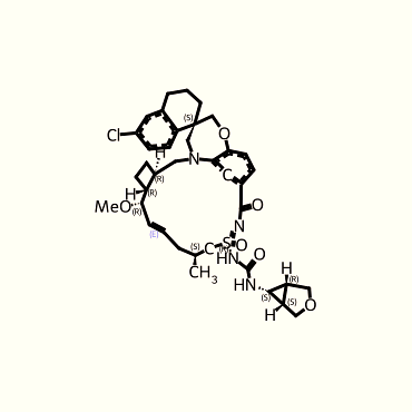 CO[C@H]1/C=C/C[C@H](C)C[S@@](=O)(NC(=O)N[C@@H]2[C@@H]3COC[C@@H]32)=NC(=O)c2ccc3c(c2)N(C[C@@H]2CC[C@H]21)C[C@@]1(CCCc2cc(Cl)ccc21)CO3